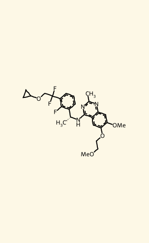 COCCOc1cc2c(N[C@H](C)c3cccc(C(F)(F)COC4CC4)c3F)nc(C)nc2cc1OC